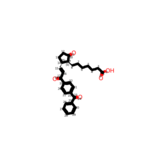 O=C(O)CCCCCC[C@@H]1C(=O)CC[C@H]1C=CC(=O)c1ccc(C(=O)c2ccccc2)cc1